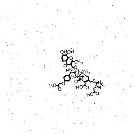 CO[C@@]1(NC(=O)C(NC(=O)c2c(C)oc3c(O)c(O)ccc3c2=O)c2ccc(OCC(=O)O)cc2)C(=O)N2C(C(=O)O)=C(CSc3nnnn3CC(=O)O)CS[C@H]21